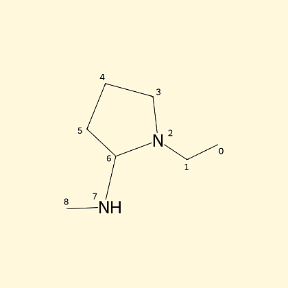 CCN1CCCC1NC